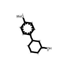 COc1ccc(C2CCCC(O)C2)cc1